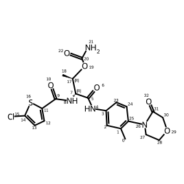 Cc1cc(NC(=O)[C@H](NC(=O)c2ccc(Cl)s2)[C@@H](C)OC(N)=O)ccc1N1CCOCC1=O